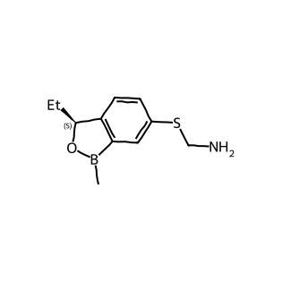 CC[C@@H]1OB(C)c2cc(SCN)ccc21